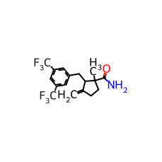 C=C1CCC(C)(C(N)=O)C1Cc1cc(C(F)(F)F)cc(C(F)(F)F)c1